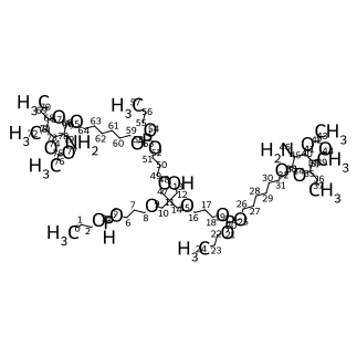 CCCOPOCCCOCC(CO)(COCCCOP(OCCC)OCCCCCCO[C@@H]1OC(CC)[C@H](C)C(OC(C)=O)C1N)COCCCOP(OCCC)OCCCCCCO[C@@H]1OC(CC)[C@H](C)C(OC(C)=O)C1N